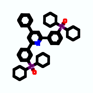 O=P(c1cccc(-c2cc(-c3ccccc3)cc(-c3cccc(P(=O)(C4CCCCC4)C4CCCCC4)c3)n2)c1)(C1CCCCC1)C1CCCCC1